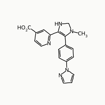 CN1CNC(c2cc(C(=O)O)ccn2)=C1c1ccc(-n2cccn2)cc1